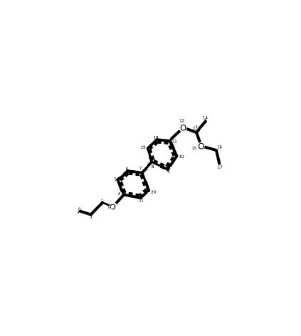 CCCOc1ccc(-c2ccc(OC(C)OCC)cc2)cc1